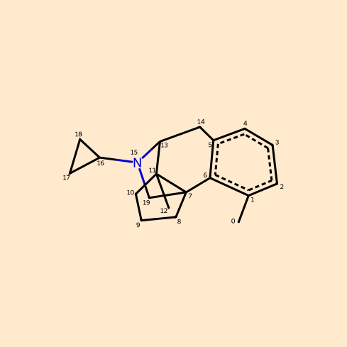 Cc1cccc2c1C13CCCC1(C)C(C2)N(C1CC1)C3